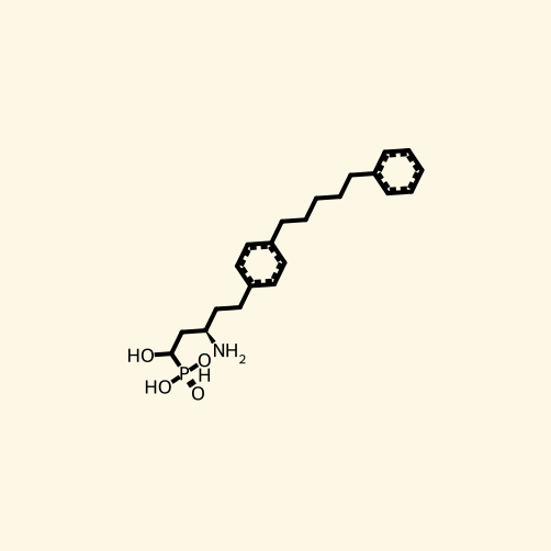 N[C@H](CCc1ccc(CCCCCc2ccccc2)cc1)CC(O)P(=O)(O)O